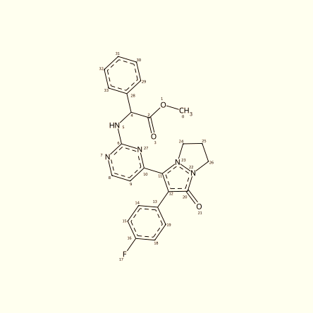 COC(=O)C(Nc1nccc(-c2c(-c3ccc(F)cc3)c(=O)n3n2CCC3)n1)c1ccccc1